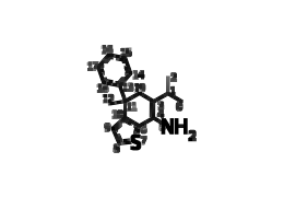 CC(C)C1=C(N)c2sccc2C(C)(c2ccccc2)C1